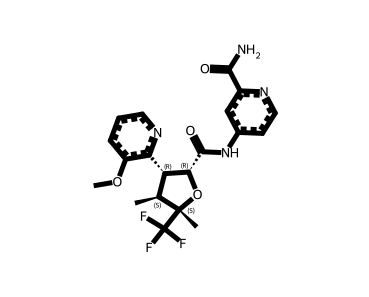 COc1cccnc1[C@@H]1[C@H](C(=O)Nc2ccnc(C(N)=O)c2)O[C@](C)(C(F)(F)F)[C@H]1C